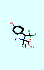 CC(N)(C(=O)O)C(c1ccc(O)cc1)C(F)(F)F